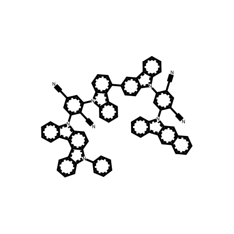 N#Cc1cc(-n2c3ccccc3c3c(-c4ccc5c(c4)c4ccccc4n5-c4cc(-n5c6ccccc6c6cc7ccccc7cc65)c(C#N)cc4C#N)cccc32)c(C#N)c(-n2c3ccccc3c3c4c5ccccc5n(-c5ccccc5)c4ccc32)c1